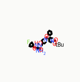 CC(C)(C)OC(=O)N1CC[C@@H](C(=O)N2CCC(O)(Cn3cnc(Oc4ccc(F)cc4)c(N)c3=O)CC2)[C@H](c2ccccc2)C1